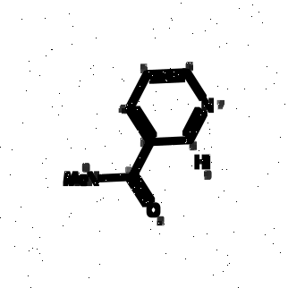 CNC(=O)c1cccnc1.I